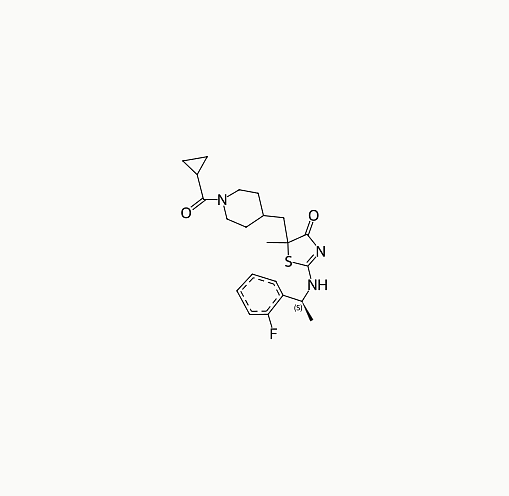 C[C@H](NC1=NC(=O)C(C)(CC2CCN(C(=O)C3CC3)CC2)S1)c1ccccc1F